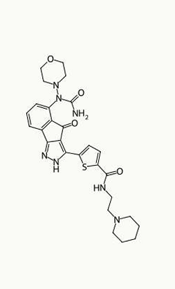 NC(=O)N(c1cccc2c1C(=O)c1c-2n[nH]c1-c1ccc(C(=O)NCCN2CCCCC2)s1)N1CCOCC1